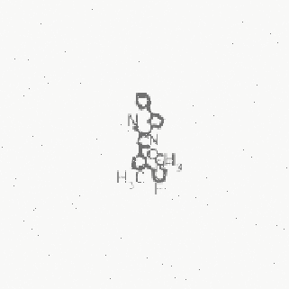 Cc1ccc2c(oc3nc(-c4cccc(-c5ccccc5)c4)c(C#N)cc32)c1-c1cc(F)cc[n+]1C